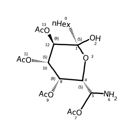 CCCCCC[C@]1(O)O[C@H](C(N)OC(C)=O)[C@H](OC(C)=O)[C@H](OC(C)=O)[C@H]1OC(C)=O